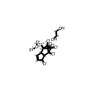 CCOCC.ClC1=C(Cl)C2(Cl)C3C(Cl)C=CC3C1(Cl)C2(Cl)Cl.OCCO